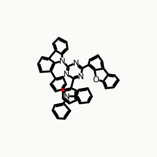 c1ccc(-c2nc(-c3cccc4c3oc3ccccc34)nc(-n3c4ccccc4c4cccc(-c5ccc(N(c6ccccc6)c6ccccc6)cc5)c43)n2)cc1